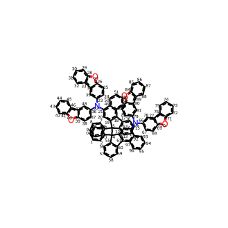 c1ccc(C2(C3(c4ccccc4)c4ccccc4-c4c3cc(N(c3ccc5oc6ccccc6c5c3)c3ccc5oc6ccccc6c5c3)c3ccccc43)c3ccccc3-c3c2cc(N(c2ccc4oc5ccccc5c4c2)c2ccc4oc5ccccc5c4c2)c2ccccc32)cc1